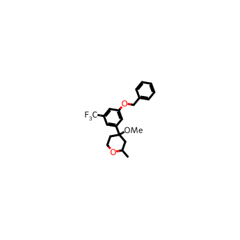 COC1(c2cc(OCc3ccccc3)cc(C(F)(F)F)c2)CCOC(C)C1